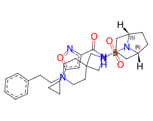 O=C(N[C@H]1C[C@H]2CC[C@@H](C1)N2S(=O)(=O)N1CC2(CCN(CCc3ccccc3)CC2)C1)c1cc(C2CC2)on1